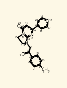 Cc1ccc(C(=O)CN2CCn3c2nc(-c2ccncc2)cc3=O)cc1